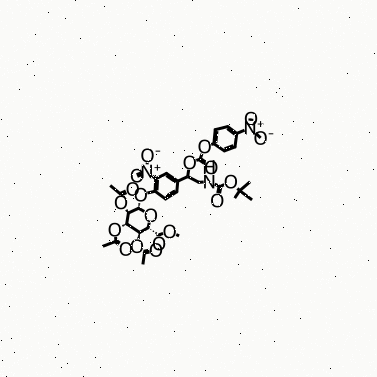 COC(=O)[C@H]1O[C@@H](Oc2ccc(C(CNC(=O)OC(C)(C)C)OC(=O)Oc3ccc([N+](=O)[O-])cc3)cc2[N+](=O)[O-])[C@H](OC(C)=O)[C@@H](OC(C)=O)[C@@H]1OC(C)=O